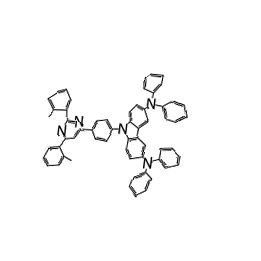 Cc1ccccc1-c1cc(-c2ccc(-n3c4ccc(N(c5ccccc5)c5ccccc5)cc4c4cc(N(c5ccccc5)c5ccccc5)ccc43)cc2)nc(-c2ccccc2C)n1